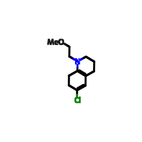 COCCN1CCCC2=C1CCC(Cl)=C2